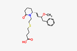 COC(/C=C/[C@H]1CCCC(=O)N1CCSCCCC(=O)O)Cc1ccccc1